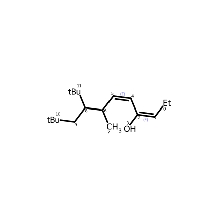 CC/C=C(O)\C=C/C(C)C(CC(C)(C)C)C(C)(C)C